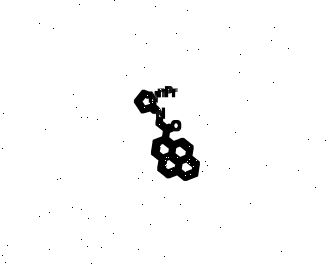 CCCN1CCC/C1=N\CC(=O)c1ccc2ccc3cccc4ccc1c2c34